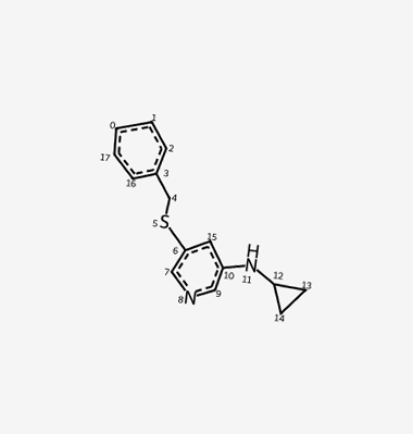 c1ccc(CSc2cncc(NC3CC3)c2)cc1